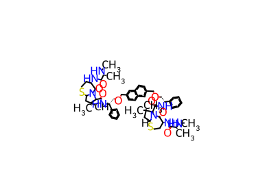 CN[C@@H](C)C(=O)NC1CCSC2CC(C)(C)C(C(=O)N[C@H](COCc3ccc4cc(COC[C@@H](NC(=O)C5N6C(=O)C(NC(=O)[C@H](C)NC)CCS[C@H]6CC5(C)C)c5ccccc5)ccc4c3)c3ccccc3)N2C1=O